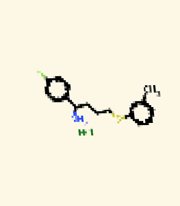 Cc1cccc(SCCCC(N)c2ccc(F)cc2)c1.Cl